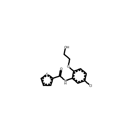 O=C(Nc1cc(Cl)ccc1OCCO)c1cccs1